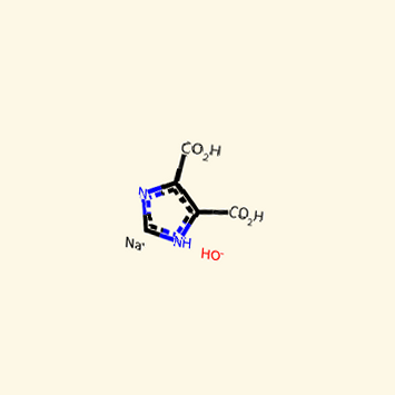 O=C(O)c1nc[nH]c1C(=O)O.[Na+].[OH-]